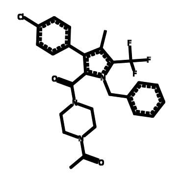 CC(=O)N1CCN(C(=O)c2c(-c3ccc(Cl)cc3)c(C)c(C(F)(F)F)n2Cc2ccccc2)CC1